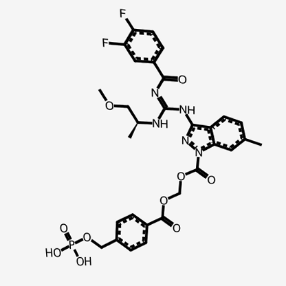 COC[C@H](C)N/C(=N/C(=O)c1ccc(F)c(F)c1)Nc1nn(C(=O)OCOC(=O)c2ccc(COP(=O)(O)O)cc2)c2cc(C)ccc12